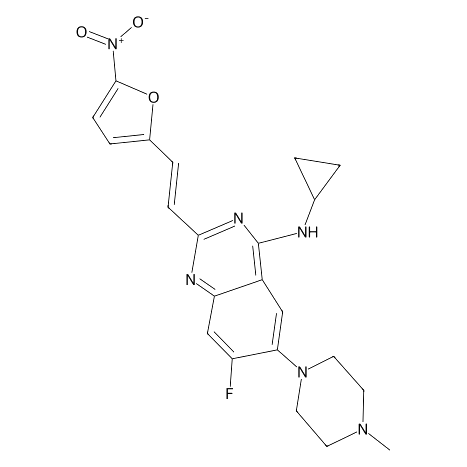 CN1CCN(c2cc3c(NC4CC4)nc(C=Cc4ccc([N+](=O)[O-])o4)nc3cc2F)CC1